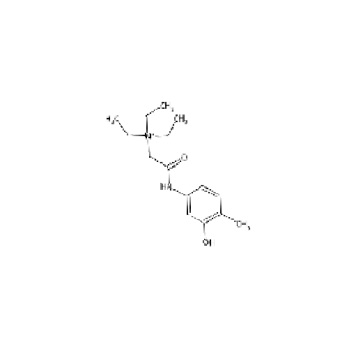 CC[N+](CC)(CC)CC(=O)Nc1ccc(C)c(O)c1